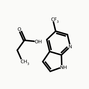 CCC(=O)O.FC(F)(F)c1cnc2[nH]ccc2c1